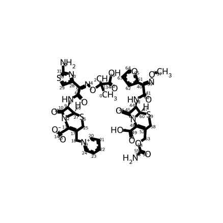 CC(C)(O/N=C(\C(=O)N[C@@H]1C(=O)N2C(C(=O)[O-])=C(C[n+]3ccccc3)CS[C@H]12)c1csc(N)n1)C(=O)O.CO/N=C(/C(=O)N[C@@H]1C(=O)N2C(C(=O)O)=C(COC(N)=O)CS[C@H]12)c1ccco1